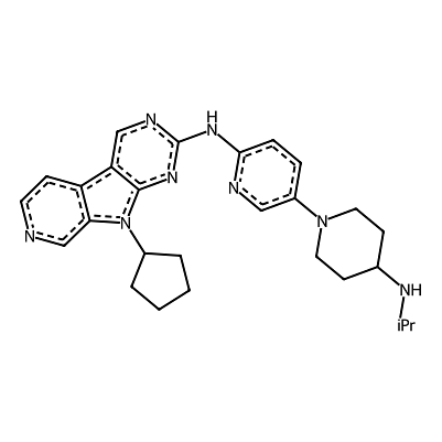 CC(C)NC1CCN(c2ccc(Nc3ncc4c5ccncc5n(C5CCCC5)c4n3)nc2)CC1